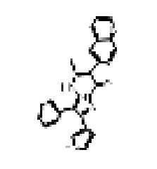 Cc1[nH]c2c(-c3ccccc3)c(-c3cc[nH]c3)nn2c(=O)c1-c1ccc2ncccc2c1